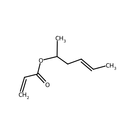 C=CC(=O)OC(C)CC=CC